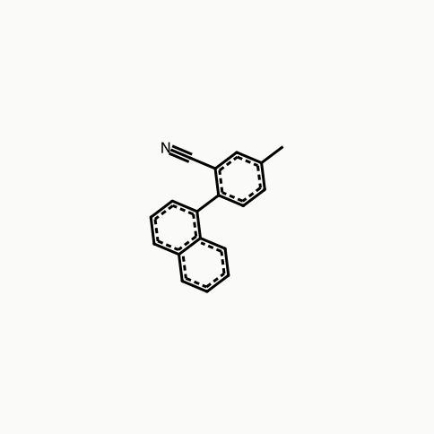 Cc1ccc(-c2cccc3ccccc23)c(C#N)c1